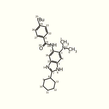 CN(C)c1cc2[nH]c(C3CCCCC3)nc2cc1NC(=O)c1ccc(C(C)(C)C)cc1